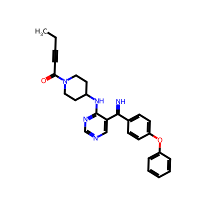 CCC#CC(=O)N1CCC(Nc2ncncc2C(=N)c2ccc(Oc3ccccc3)cc2)CC1